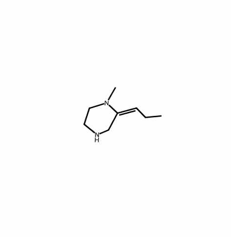 CCC=C1CNCCN1C